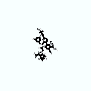 Cn1nc(N)c2c(C#N)ccc(-c3ccc(C#CC(C)(C)O)nc3[C@H](Cc3cc(F)cc(F)c3)NC(=O)Cn3nc(C(F)F)c4c3C(F)(F)[C@@H]3C[C@H]43)c21